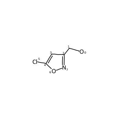 [O]Cc1cc(Cl)on1